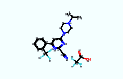 CC(C)N1CCN(c2cc(-c3ccccc3C(F)(F)F)nc(C#N)n2)CC1.O=C(O)C(F)(F)F